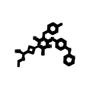 CCO[C@@H](O)[C@H]1C[C@H](n2c(=O)[nH]/c(=N\c3ccc(Oc4ccccn4)cc3)n(Cc3ccc(C)cc3)c2=O)C1